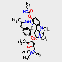 CC(N)Cc1ccccc1.CNC(=O)Oc1ccc2c(c1)[C@]1(C)CCN(C)[C@@H]1N2C.C[C@@H]1O[C@H](C[N+](C)(C)C)C[C@H]1O